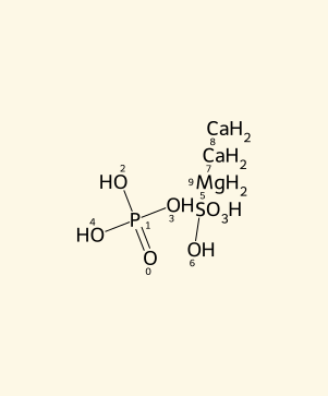 O=P(O)(O)O.O=S(=O)(O)O.[CaH2].[CaH2].[MgH2]